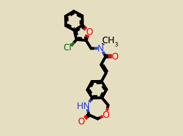 CN(Cc1oc2ccccc2c1Cl)C(=O)/C=C/c1ccc2c(c1)COCC(=O)N2